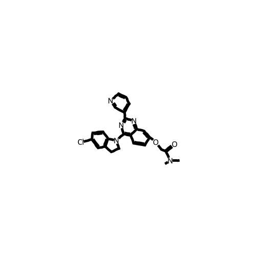 CN(C)C(=O)COc1ccc2c(N3CCc4cc(Cl)ccc43)nc(-c3cccnc3)nc2c1